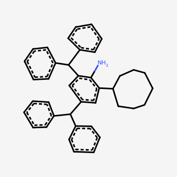 Nc1c(C2CCCCCCC2)cc(C(c2ccccc2)c2ccccc2)cc1C(c1ccccc1)c1ccccc1